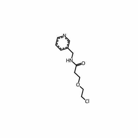 O=C(CCOCCCl)NCc1cccnc1